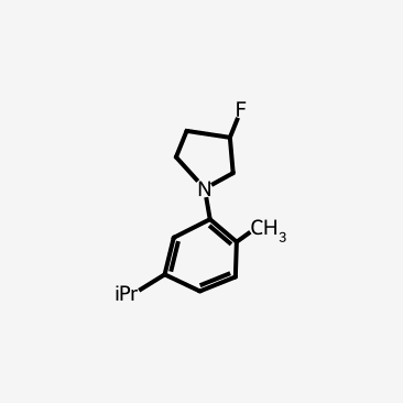 Cc1ccc(C(C)C)cc1N1CCC(F)C1